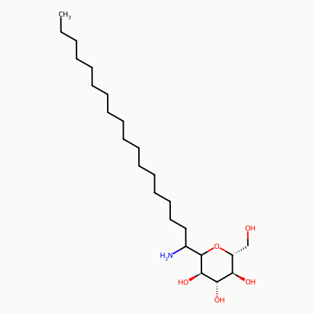 CCCCCCCCCCCCCCCCCC(N)C1O[C@H](CO)[C@@H](O)[C@H](O)[C@H]1O